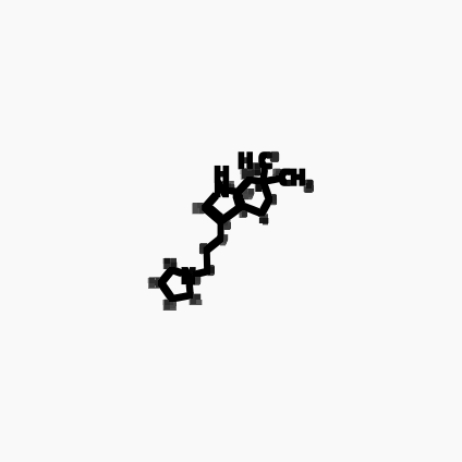 CC1(C)CCc2c(CCCN3CCCC3)c[nH]c2C1